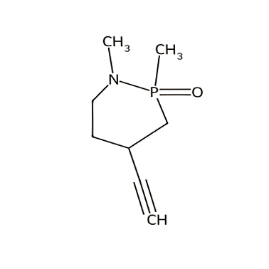 C#CC1CCN(C)P(C)(=O)C1